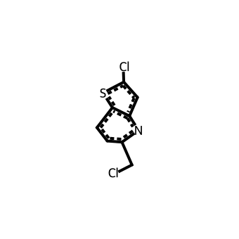 ClCc1ccc2sc(Cl)cc2n1